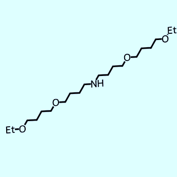 CCOCCCCOCCCCNCCCCOCCCCOCC